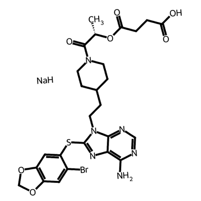 C[C@H](OC(=O)CCC(=O)O)C(=O)N1CCC(CCn2c(Sc3cc4c(cc3Br)OCO4)nc3c(N)ncnc32)CC1.[NaH]